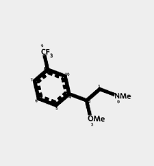 CNCC(OC)c1cccc(C(F)(F)F)c1